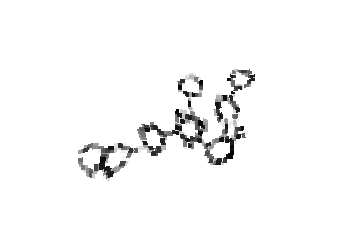 C1=CCC(c2nc(-c3ccc(-c4ccc5ccccc5c4)cc3)nc(-c3cccc4oc5cc(-c6ccccc6)ccc5c34)n2)C=C1